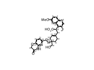 COc1ccc2ncc(F)c(C(CC3=CCC(CO)(NCc4ccc5c(n4)NC(=O)CO5)CC3)C(=O)O)c2n1